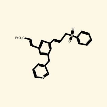 CCOC(=O)/C=C/c1cc(/C=C/CS(=O)(=O)c2ccccc2)cc(Cc2cccnc2)c1